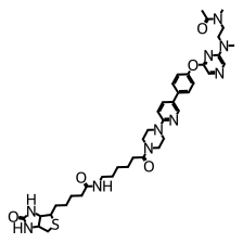 CC(=O)N(C)CCN(C)c1cncc(Oc2ccc(-c3ccc(N4CCN(C(=O)CCCCCNC(=O)CCCCC5SCC6NC(=O)NC65)CC4)nc3)cc2)n1